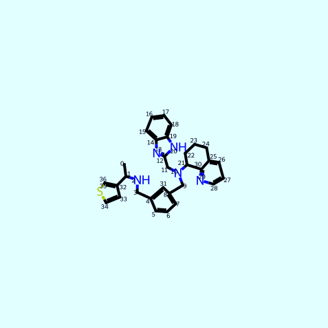 CC(NCc1cccc(CN(Cc2nc3ccccc3[nH]2)C2CCCc3cccnc32)c1)c1ccsc1